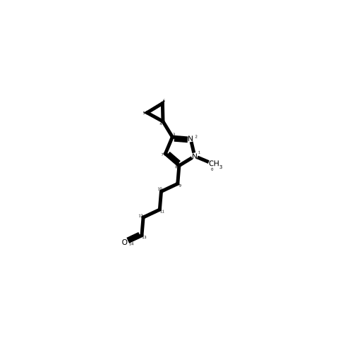 Cn1nc(C2CC2)cc1CCCCC=O